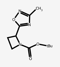 Cc1noc(C2CCN2C(=O)OC(C)(C)C)n1